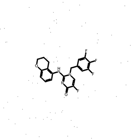 O=c1nc(Nc2cccc3c2CCCO3)n(Cc2cc(F)c(F)c(F)c2)cc1F